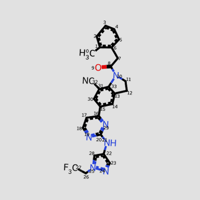 Cc1ccccc1CC(=O)N1CCc2cc(-c3ccnc(Nc4cnn(CC(F)(F)F)c4)n3)cc(C#N)c21